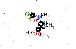 CCCN(C(=O)Nc1ccc(Cl)c(C(F)(F)F)c1)[C@H]1CC[C@@]2(c3ccc(OC)c(OC)c3)CCN(C)[C@H]2C1